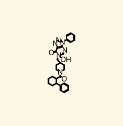 O=C(C1CCCCC1c1ccccc1)N1CCC(O)(Cn2cnc3c(nnn3-c3ccccc3)c2=O)CC1